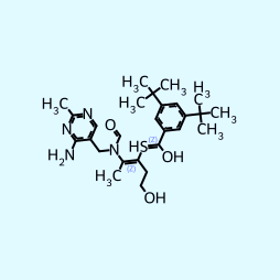 C/C(=C(CCO)/[SH]=C(\O)c1cc(C(C)(C)C)cc(C(C)(C)C)c1)N(C=O)Cc1cnc(C)nc1N